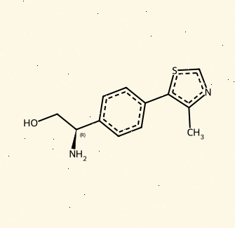 Cc1ncsc1-c1ccc([C@@H](N)CO)cc1